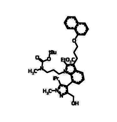 CCOC(=O)c1c(CCCOc2cccc3ccccc23)c2cccc(-c3c(CO)nn(C)c3C(C)C)c2n1CCCN(C)C(=O)OC(C)(C)C